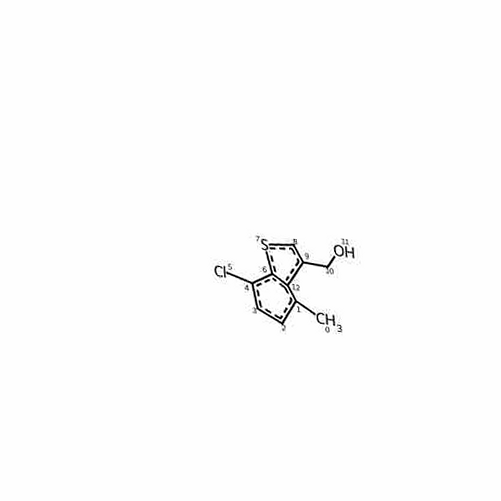 Cc1ccc(Cl)c2scc(CO)c12